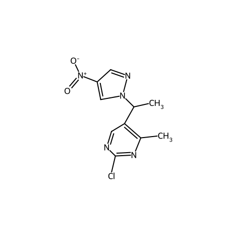 Cc1nc(Cl)ncc1C(C)n1cc([N+](=O)[O-])cn1